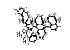 CC1(C)c2ccccc2-c2c1cc1c(oc3cc4ccccc4cc31)c2-c1c2ccccc2c(-c2cccc3ccccc23)c2ccccc12